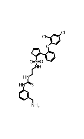 NCc1cccc(NC(=S)NCCNS(=O)(=O)c2sccc2-c2ccccc2Oc2ccc(Cl)cc2Cl)c1